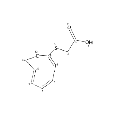 O=C(O)CS/C1=C/C=C\C=C\CC1